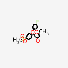 CC1=CC(=O)CC(Oc2ccc(F)cc2)(c2ccc(S(C)(=O)=O)cc2)O1